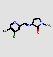 Cc1cnc(C=NC2CCN(C)C2=O)cc1Br